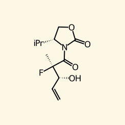 C=C[C@@H](O)[C@@](C)(F)C(=O)N1C(=O)OC[C@H]1C(C)C